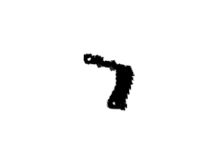 C#N.C#N.C#N.C#N.C#N.C#N.C#N.C#N.C#N.C#N.[Cu].[Cu]